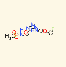 CS(=O)(=O)CCNCc1ccc(-c2cc3c(Nc4ccc(OCc5cccc(F)c5)cc4)ncnc3cn2)o1